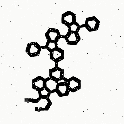 C=Cc1c(/C=C\C)n(-c2ccccc2)c2c(-c3nc(-c4ccccc4)nc(-c4ccc5c6c(-c7cccc8c7c7ccccc7n8-c7ccccc7)cccc6n(-c6ccccc6)c5c4)n3)cccc12